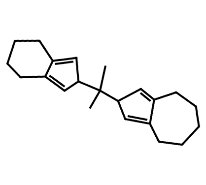 CC(C)(C1C=C2CCCCCC2=C1)C1C=C2CCCCC2=C1